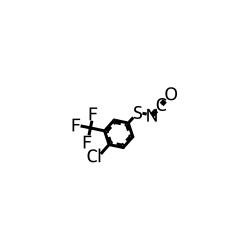 O=C=NSc1ccc(Cl)c(C(F)(F)F)c1